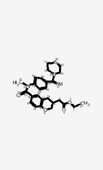 CCOC(=O)CC1COc2ccc(C(=O)N(C)c3ccc(C(=N)N4CCSCC4)cc3)cc2C1